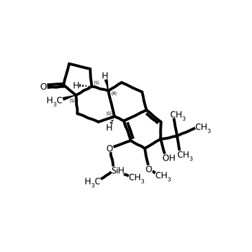 COC1C(O[SiH](C)C)=C2C(=CC1(O)C(C)(C)C)CC[C@@H]1[C@@H]2CC[C@]2(C)C(=O)CC[C@@H]12